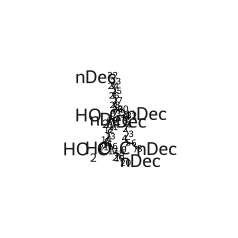 CCCCCCCCCCCCCCC(CCCCCCCCCCCC)C(=O)O.CCCCCCCCCCCCCCC(CCCCCCCCCCCCCC)C(=O)O.CCCCCCCCCCCCCCCCC(CCCCCCCCCCCC)C(=O)O